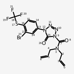 C=CCN(CC=C)C(=O)n1nnn(-c2ccc(SC(F)(F)F)c(Br)c2)c1=O